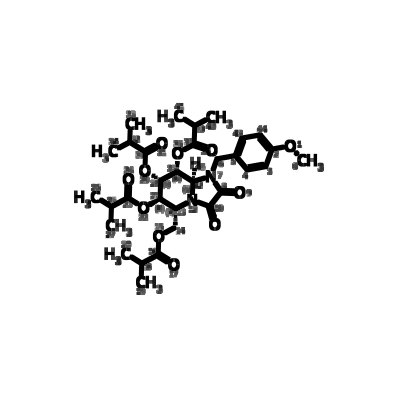 COc1ccc(CN2C(=O)C(=O)N3[C@H](COC(=O)C(C)C)[C@@H](OC(=O)C(C)C)[C@H](OC(=O)C(C)C)[C@H](OC(=O)C(C)C)[C@@H]23)cc1